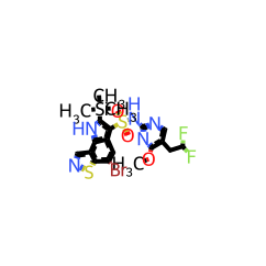 COc1nc(NS(=O)(=O)c2c([Si](C)(C)C)[nH]c3c2cc(Br)c2sncc23)ncc1CC(F)F